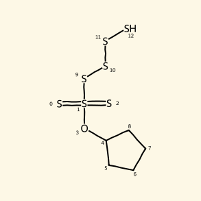 S=S(=S)(OC1CCCC1)SSSS